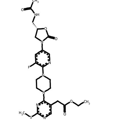 CCOC(=O)Cc1cnc(SC)nc1N1CCN(c2ncc(N3C[C@H](CNC(C)=O)OC3=O)cc2F)CC1